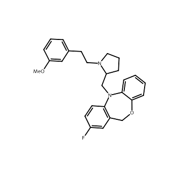 COc1cccc(CCN2CCCC2CN2c3ccc(F)cc3COc3ccccc32)c1